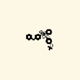 CC(C)(C)Oc1ccc([I+](OS(=O)(=O)c2ccc(Cc3ccccc3)cc2)c2ccccc2)cc1